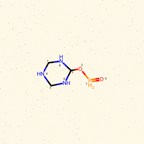 O=[PH2]OC1NCNCN1